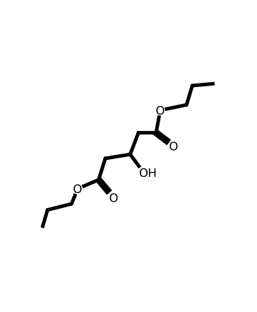 CCCOC(=O)CC(O)CC(=O)OCCC